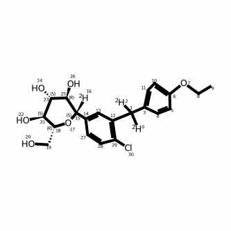 [2H]C([2H])(c1ccc(OCC)cc1)c1cc([C@]2([2H])O[C@H](CO)[C@@H](O)[C@H](O)[C@H]2O)ccc1Cl